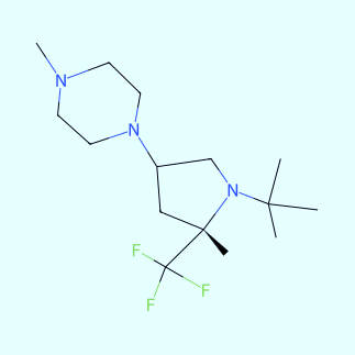 CN1CCN(C2CN(C(C)(C)C)[C@](C)(C(F)(F)F)C2)CC1